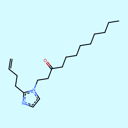 C=CCCc1nccn1CCC(=O)CCCCCCCCC